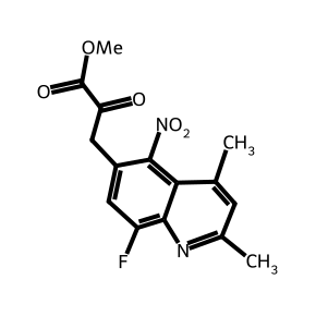 COC(=O)C(=O)Cc1cc(F)c2nc(C)cc(C)c2c1[N+](=O)[O-]